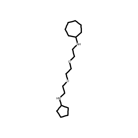 C1CCCC(NCCOCCOCCNC2CCCC2)CC1